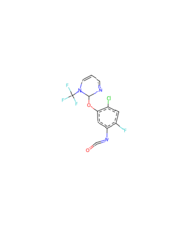 O=C=Nc1cc(OC2N=CC=CN2C(F)(F)F)c(Cl)cc1F